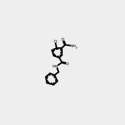 NC(=O)c1cc(C(=O)NCc2ccccc2)ccc1Cl